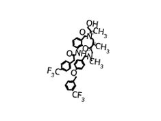 C[C@@H]1CN([C@@H](C)CO)C(=O)c2cccc(NC(=O)Cc3ccc(C(F)(F)F)cc3)c2O[C@@H]1CN(C)Cc1ccc(OCc2cccc(C(F)(F)F)c2)cc1